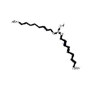 CCCCCCCCCCCCCCC/C=C/COP(O)OC/C=C/CCCCCCCCCCCCCCC